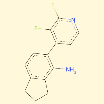 Nc1c(-c2ccnc(F)c2F)ccc2c1CCC2